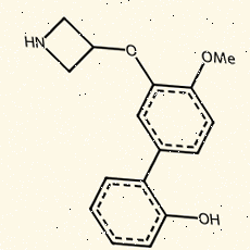 COc1ccc(-c2ccccc2O)cc1OC1CNC1